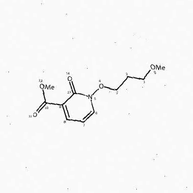 COCCCOn1cccc(C(=O)OC)c1=O